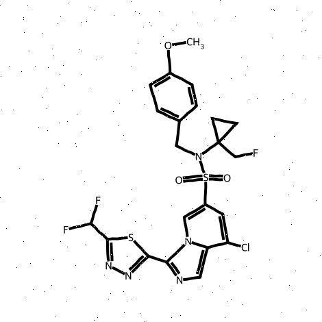 COc1ccc(CN(C2(CF)CC2)S(=O)(=O)c2cc(Cl)c3cnc(-c4nnc(C(F)F)s4)n3c2)cc1